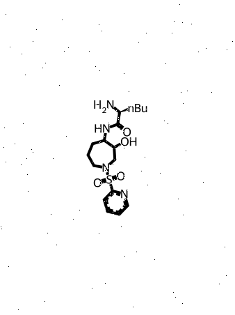 CCCC[C@H](N)C(=O)NC1CCCN(S(=O)(=O)c2ccccn2)CC1O